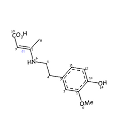 COc1cc(CCN/C(C)=C/C(=O)O)ccc1O